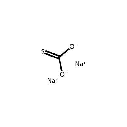 [Na+].[Na+].[O-]C([O-])=S